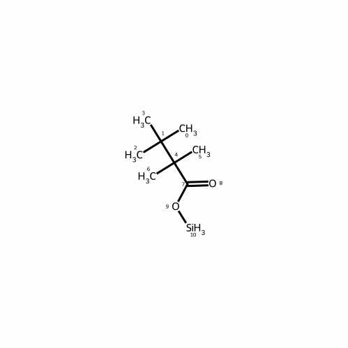 CC(C)(C)C(C)(C)C(=O)O[SiH3]